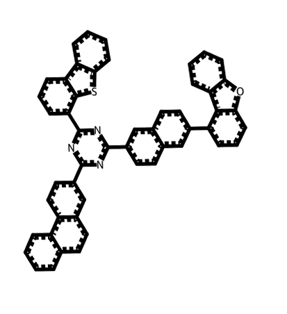 c1ccc2c(c1)ccc1cc(-c3nc(-c4ccc5cc(-c6cccc7oc8ccccc8c67)ccc5c4)nc(-c4cccc5c4sc4ccccc45)n3)ccc12